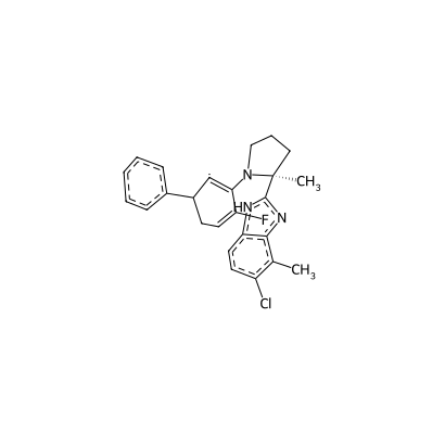 Cc1c(Cl)ccc2[nH]c([C@]3(C)CCCN3C3=[C]C(c4ccccc4)CC=C3F)nc12